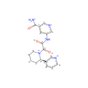 NC(=O)c1cncc(NC(=O)C(=O)N2CCCC[C@@H]2c2cccnc2)c1